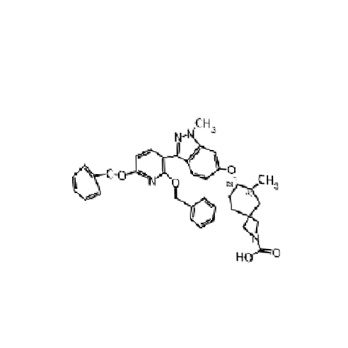 C[C@H]1CC2(CC[C@@H]1Oc1ccc3c(-c4ccc(OCc5ccccc5)nc4OCc4ccccc4)nn(C)c3c1)CN(C(=O)O)C2